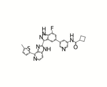 Cc1ccc(-c2nccc3[nH]c(-c4n[nH]c5c(F)cc(-c6cncc(NC(=O)C7CCC7)c6)cc45)nc23)s1